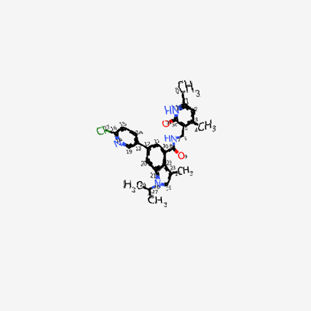 Cc1cc(C)c(CNC(=O)c2cc(-c3ccc(Cl)nc3)cc3c2c(C)cn3C(C)C)c(=O)[nH]1